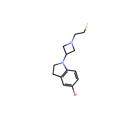 FCCN1CC(N2CCc3cc(Br)ccc32)C1